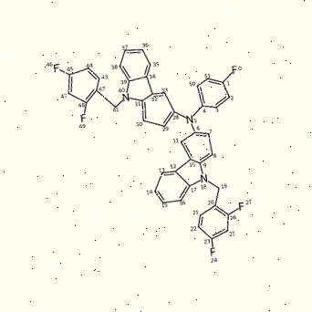 Fc1ccc(N(c2ccc3c(c2)c2ccccc2n3Cc2ccc(F)cc2F)c2ccc3c(c2)c2ccccc2n3Cc2ccc(F)cc2F)cc1